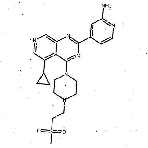 CS(=O)(=O)CCN1CCN(c2nc(-c3ccnc(N)c3)nc3cncc(C4CC4)c23)CC1